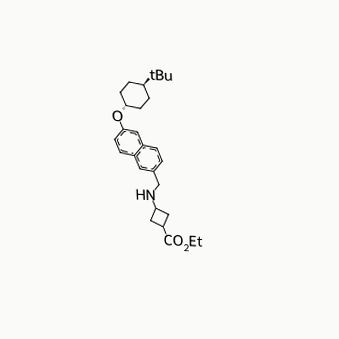 CCOC(=O)C1CC(NCc2ccc3cc(O[C@H]4CC[C@H](C(C)(C)C)CC4)ccc3c2)C1